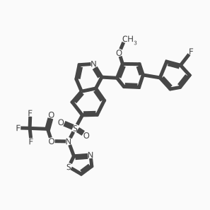 COc1cc(-c2cccc(F)c2)ccc1-c1nccc2cc(S(=O)(=O)N(OC(=O)C(F)(F)F)c3nccs3)ccc12